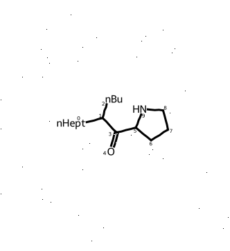 CCCCCCCC(CCCC)C(=O)C1CCCN1